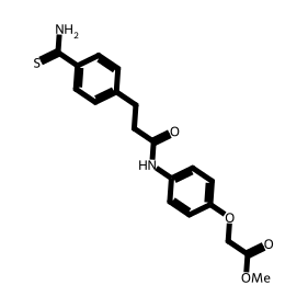 COC(=O)COc1ccc(NC(=O)CCc2ccc(C(N)=S)cc2)cc1